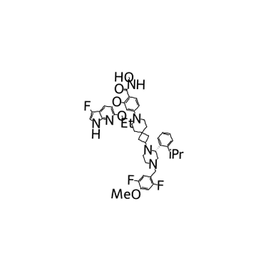 CCOc1nc2[nH]cc(F)c2cc1Oc1cc(N2CCC3(CC2)CC(N2CCN(Cc4cc(F)c(OC)cc4F)C[C@H]2c2ccccc2C(C)C)C3)ccc1C(=O)NO